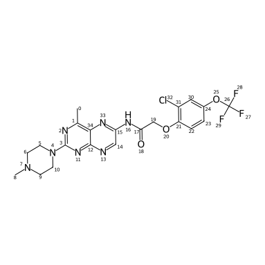 Cc1nc(N2CCN(C)CC2)nc2ncc(NC(=O)COc3ccc(OC(F)(F)F)cc3Cl)nc12